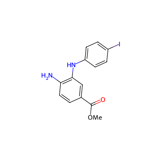 COC(=O)c1ccc(N)c(Nc2ccc(I)cc2)c1